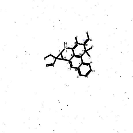 C=CC1(CC)C2NC3=C(C)/C(=C\C)C(C)(C)c4c3c(cc3ccccc43)C21